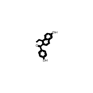 CCc1c(C(=O)c2ccc(O)cc2)ccc2cc(O)ccc12